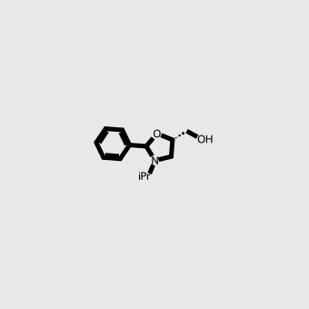 CC(C)N1C[C@@H](CO)OC1c1ccccc1